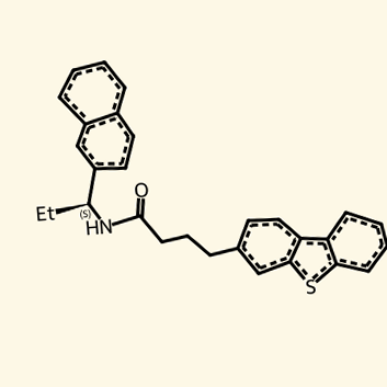 CC[C@H](NC(=O)CCCc1ccc2c(c1)sc1ccccc12)c1ccc2ccccc2c1